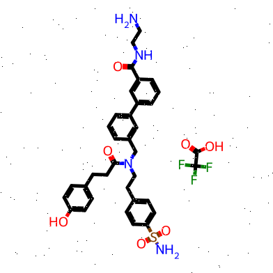 NCCNC(=O)c1cccc(-c2cccc(CN(CCc3ccc(S(N)(=O)=O)cc3)C(=O)CCc3ccc(O)cc3)c2)c1.O=C(O)C(F)(F)F